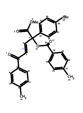 COC(=O)C(/C=C/C(=O)c1ccc(C)cc1)(OC(=O)c1ccc(C)cc1)c1ccc(C(C)(C)C)cc1